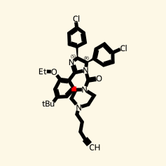 C#CCCCN1CCN(C(=O)N2C(c3ccc(C(C)(C)C)cc3OCC)=N[C@@H](c3ccc(Cl)cc3)[C@H]2c2ccc(Cl)cc2)CC1